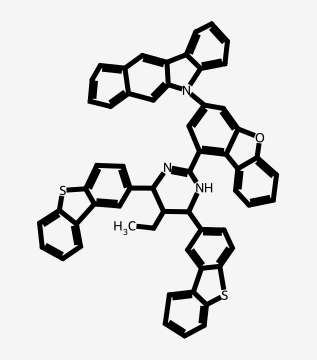 CCC1C(c2ccc3sc4ccccc4c3c2)N=C(c2cc(-n3c4ccccc4c4cc5ccccc5cc43)cc3oc4ccccc4c23)NC1c1ccc2sc3ccccc3c2c1